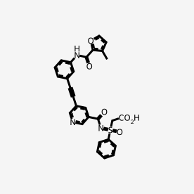 Cc1ccoc1C(=O)Nc1cccc(C#Cc2cncc(C(=O)N=S(=O)(CC(=O)O)c3ccccc3)c2)c1